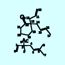 C=CC(C)(CC=C(C)C)C(C)=O.C=CCC1(CC=CC)CCCCC1=O